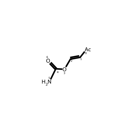 CC(=O)C=COC(N)=O